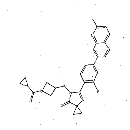 Cc1ccc2ccc(-c3ccc(C4=NC5(CC5)C(=O)N4CC4CN(C(=O)C5CC5)C4)c(F)c3)cc2n1